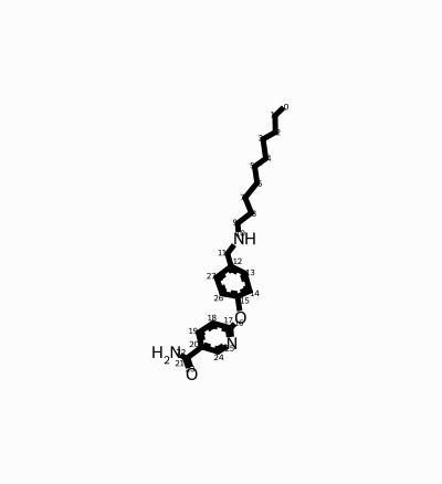 CCCCCCCCCCNCc1ccc(Oc2ccc(C(N)=O)cn2)cc1